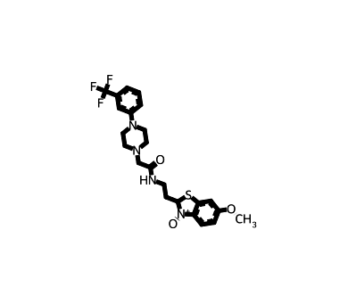 COc1ccc2c(c1)SC(CCNC(=O)CN1CCN(c3cccc(C(F)(F)F)c3)CC1)[N+]2=O